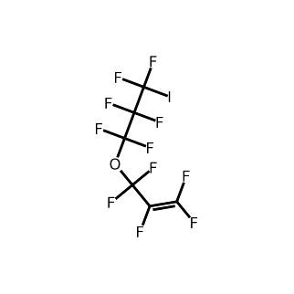 FC(F)=C(F)C(F)(F)OC(F)(F)C(F)(F)C(F)(F)I